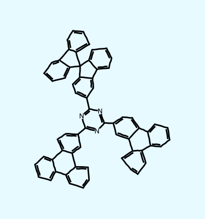 c1ccc2c(c1)-c1ccccc1C21c2ccccc2-c2cc(-c3nc(-c4ccc5c6ccccc6c6ccccc6c5c4)nc(-c4ccc5c6ccccc6c6ccccc6c5c4)n3)ccc21